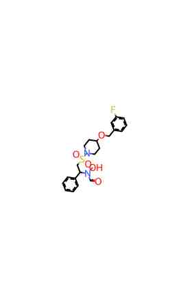 O=CN(O)C(CS(=O)(=O)N1CCC(OCc2cccc(F)c2)CC1)c1ccccc1